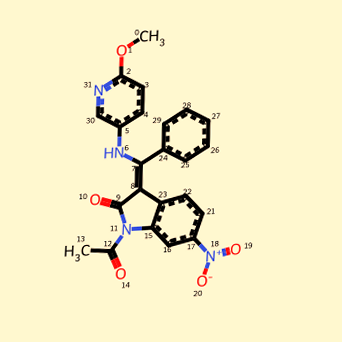 COc1ccc(N/C(=C2\C(=O)N(C(C)=O)c3cc([N+](=O)[O-])ccc32)c2ccccc2)cn1